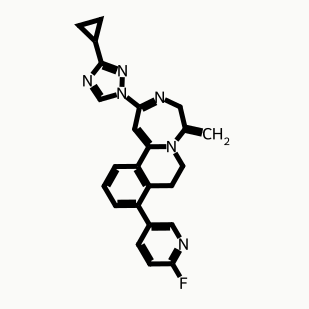 C=C1CN=C(n2cnc(C3CC3)n2)C=C2c3cccc(-c4ccc(F)nc4)c3CCN12